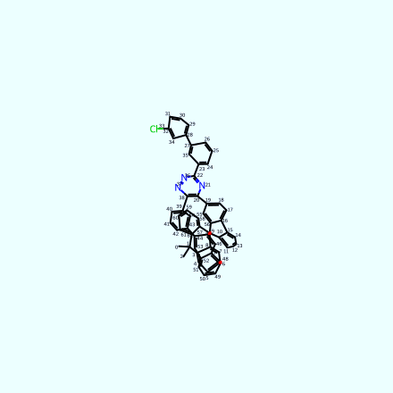 CC1(C)c2ccccc2C2(c3ccccc3-c3ccc(-c4nc(-c5cccc(-c6cccc(Cl)c6)c5)nnc4-c4cccc(-c5ccc6ccccc6c5)c4)cc32)c2ccccc21